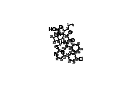 CCCCC(CC1(CSc2nccc(-c3ccc(Cl)cc3)n2)CCC1)(NC(=O)O)C(=O)C(=O)N[C@H](C)c1ccccc1